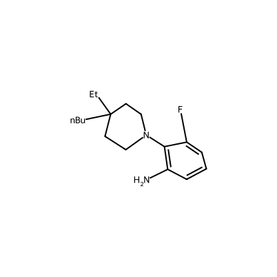 CCCCC1(CC)CCN(c2c(N)cccc2F)CC1